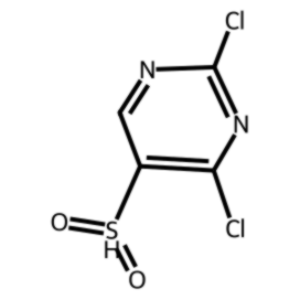 O=[SH](=O)c1cnc(Cl)nc1Cl